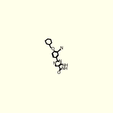 N#Cc1cc(-c2ncc3c(=O)[nH][nH]c3n2)ccc1OCC1CCCCC1